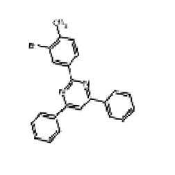 Cc1ccc(-c2nc(-c3ccccc3)cc(-c3ccccc3)n2)cc1Br